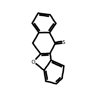 S=C1c2ccccc2Cc2oc3ccccc3c21